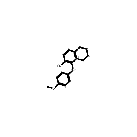 COc1ccc(Nc2c(N)ccc3c2CCCC3)cc1